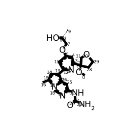 CO[C@]1(c2cc(OC[C@@H](C)O)cc(-c3cc(C)n4cnc(NC(N)=O)cc34)n2)CCOC1